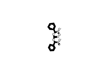 O=C(OC(c1ccccc1)[N+](=O)[O-])OC(c1ccccc1)[N+](=O)[O-]